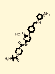 CC(C)(N)C(=O)N1CCN(C(=O)Nc2ccn(-c3ccc(CN[C@H]4CC[C@H](N)C4)cc3)c(=O)n2)CC1.Cl